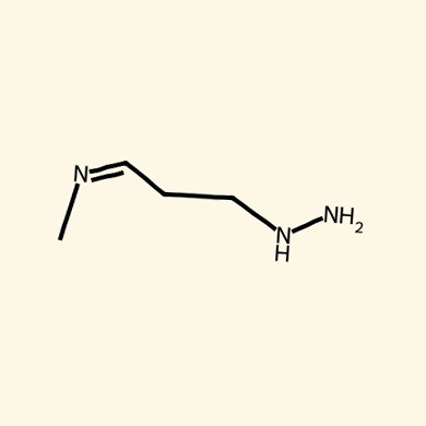 C/N=C\CCNN